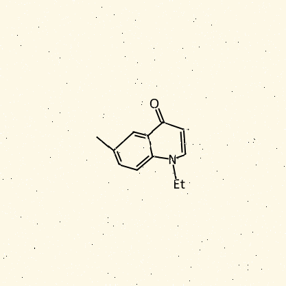 CCn1c[c]c(=O)c2cc(C)ccc21